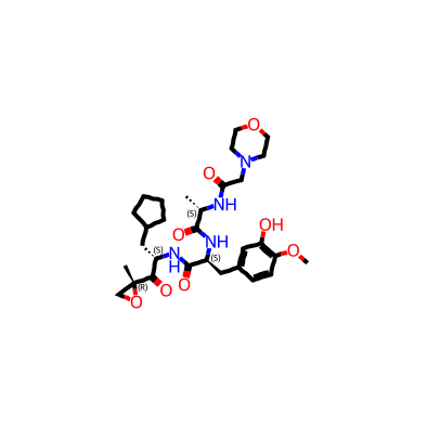 COc1ccc(C[C@H](NC(=O)[C@H](C)NC(=O)CN2CCOCC2)C(=O)N[C@@H](CC2CCCC2)C(=O)[C@@]2(C)CO2)cc1O